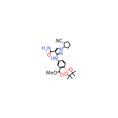 COC(=O)c1cc(Nc2nn([C@@H]3CCC[C@H]3C#N)cc2C(N)=O)ccc1B1OC(C)(C)C(C)(C)O1